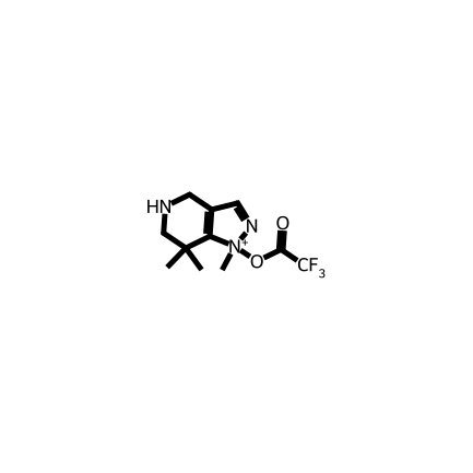 CC1(C)CNCC2=C1[N+](C)(OC(=O)C(F)(F)F)N=C2